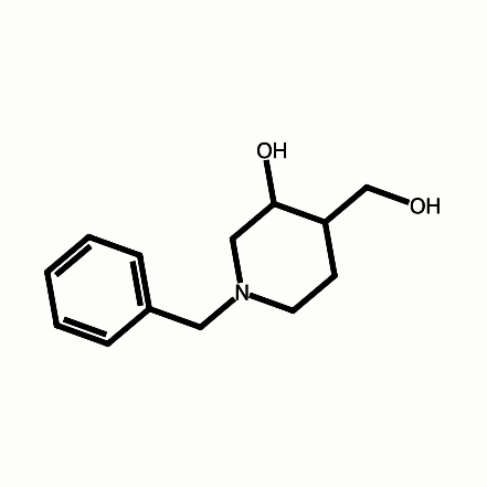 OCC1CCN(Cc2ccccc2)CC1O